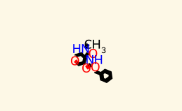 CNC(=O)C1(NC(=O)OCc2ccccc2)CCOCC1